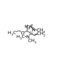 C=C[Si](C(C)OCC)(N(C)C)N(C)C